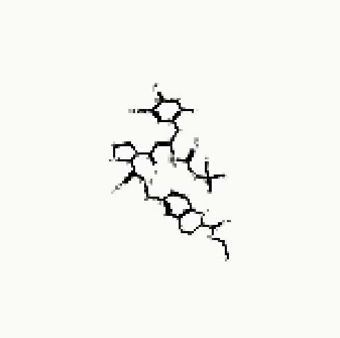 CCOC(=O)C1COc2cc(CNC(=O)C3SCCN3C(=O)CC(Cc3cc(F)c(F)cc3F)NC(=O)OC(C)(C)C)ccc2O1